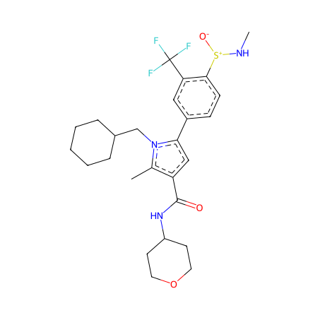 CN[S+]([O-])c1ccc(-c2cc(C(=O)NC3CCOCC3)c(C)n2CC2CCCCC2)cc1C(F)(F)F